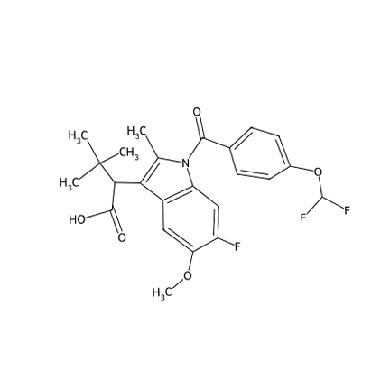 COc1cc2c(C(C(=O)O)C(C)(C)C)c(C)n(C(=O)c3ccc(OC(F)F)cc3)c2cc1F